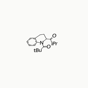 CC(C)C(=O)C1CCc2ccccc2N1C(=O)C(C)(C)C